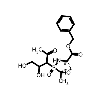 CC(=O)C(C(O)CO)P(=O)(N[C@@H](CO)C(=O)OCc1ccccc1)C(C)=O